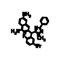 CC(C)c1ccc(F)c(C(c2cc3cc(N)ccc3c(N)n2)c2nc(-c3ccccc3)nn2C)c1